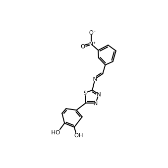 O=[N+]([O-])c1cccc(C=Nc2nnc(-c3ccc(O)c(O)c3)s2)c1